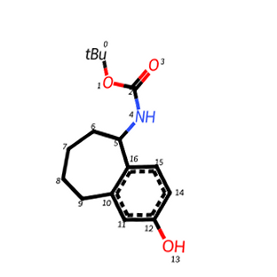 CC(C)(C)OC(=O)NC1CCCCc2cc(O)ccc21